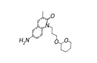 Cc1cc2cc(N)ccc2n(CCCOC2CCCCO2)c1=O